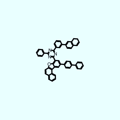 C1=Cc2ccc(-c3cccc(-c4nc(-c5ccccc5)nc(-c5cc(-c6ccc(-c7ccccc7)cc6)cc6c5oc5ccc7ccccc7c56)n4)c3)cc2CC1